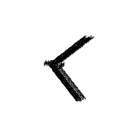 O=C(O)O.O=C(O)O.O=C(O)O.[Ca+2].[Ca+2].[Ca+2].[Ca+2].[Ca+2].[Ca+2].[Ca+2].[Ca+2].[Ca+2].[Ca+2].[Ca+2].[Ca+2].[Ca+2].[Ca+2].[Ca+2].[Ca+2].[Ca+2].[Ca+2].[Ca+2].[Ca+2].[Ca+2].[Ca+2].[Ca+2].[Ca+2].[Ca+2].[Ca+2].[Ca+2].[Ca+2].[Ca+2].[Ca+2].[Ca+2].[Ca+2].[Ca+2].[Ca+2].[Ca+2].[Ca+2].[Ca+2].[Ca+2].[Ca+2].[Ca+2].[Ca+2].[Ca+2].[Ca+2].[Ca+2].[Ca+2].[Ca+2].[Ca+2].[Ca+2].[Ca+2].[Ca+2].[Ca+2].[Ca+2].[Ca+2].[Ca+2].[Ca+2].[Ca+2].[Ca+2].[Ca+2].[Ca+2].[Ca+2].[Ca+2].[Ca+2].[Ca+2].[Ca+2].[Ca+2].[Ca+2].[Ca+2].[Ca+2].[Ca+2].[Ca+2].[Ca+2].[Ca+2].[Ca+2].[Ca+2].[Ca+2]